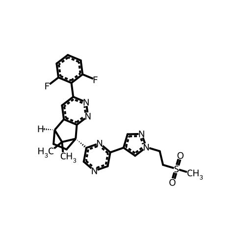 CC1(C)[C@H]2CC[C@]1(c1cncc(-c3cnn(CCS(C)(=O)=O)c3)n1)c1nnc(-c3c(F)cccc3F)cc12